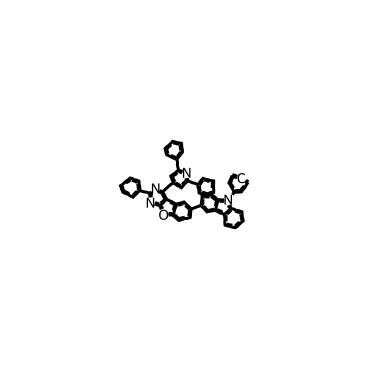 c1ccc(-c2cc(-c3nc(-c4ccccc4)nc4oc5ccc(-c6ccc7c(c6)c6ccccc6n7-c6ccccc6)cc5c34)cc(-c3ccccc3)n2)cc1